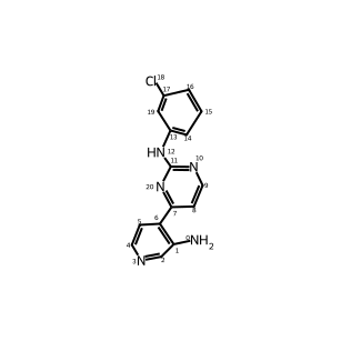 Nc1cnccc1-c1ccnc(Nc2cccc(Cl)c2)n1